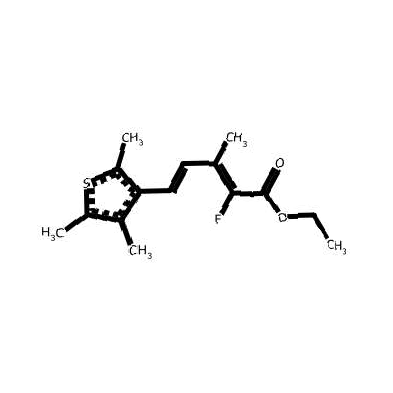 CCOC(=O)C(F)=C(C)C=Cc1c(C)sc(C)c1C